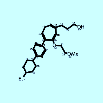 CCC1CCC(c2ccc(C3=CCC=C(CCCO)C=C3OCCOC)cc2)CC1